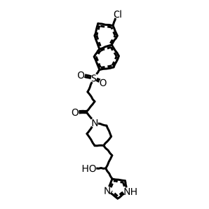 O=C(CCS(=O)(=O)c1ccc2cc(Cl)ccc2c1)N1CCC(CC(O)c2c[nH]cn2)CC1